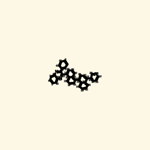 c1ccc(-c2nc3ccccc3nc2-c2cccc3c(-c4ccc(-c5cccnc5)c5ccccc45)cccc23)cc1